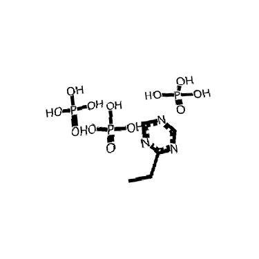 CCc1ncncn1.O=P(O)(O)O.O=P(O)(O)O.O=P(O)(O)O